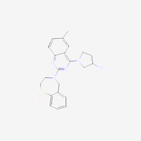 Cc1ccc2nc(N3CC[S+]([O-])c4ccccc4C3)nc(N3CCC(N)C3)c2c1